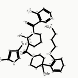 CCC[C@H]1N(C(=O)c2cnccc2C(F)(F)F)CCC[C@@]1(Oc1csc(C(F)(F)F)c1)C(=O)N1CCC(OC)(C2=C(OCCCC(=O)O)CCC=C2)CC1